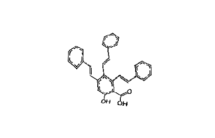 O=C(O)c1c(O)cc(C=Cc2ccccc2)c(C=Cc2ccccc2)c1C=Cc1ccccc1